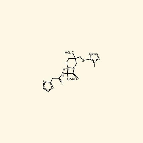 COC1(NC(=O)Cc2cccs2)C(=O)N2CC(CSc3nnnn3C)(C(=O)O)CS[C@@H]21